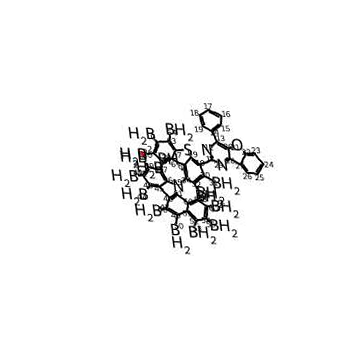 Bc1c(B)c(B)c2c(sc3c(-c4nc(-c5ccccc5)c5oc6ccccc6c5n4)c(B)c(B)c(-n4c5c(B)c(B)c(B)c(B)c5c5c(B)c(B)c6c(B)c(B)c(B)c(B)c6c54)c32)c1B